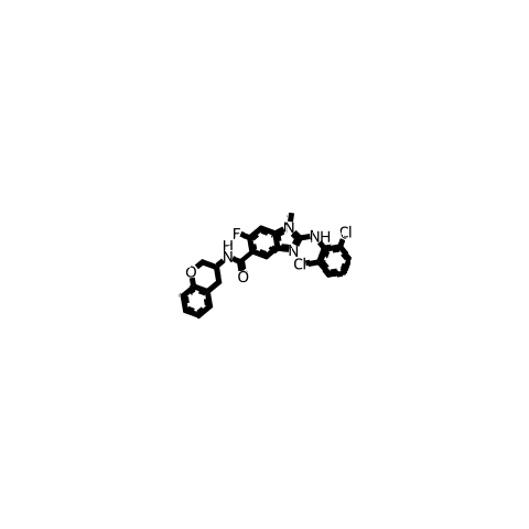 Cn1c(Nc2c(Cl)cccc2Cl)nc2cc(C(=O)NC3COc4ccccc4C3)c(F)cc21